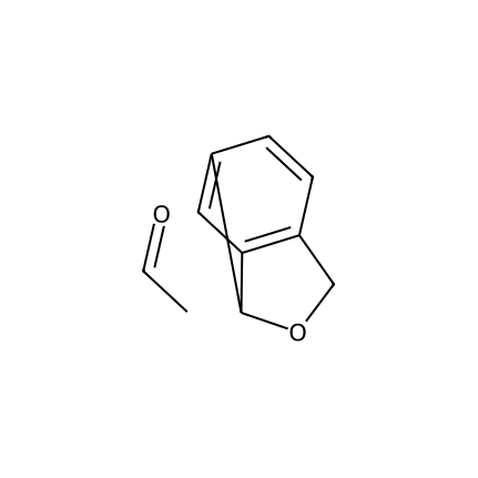 CC=O.c1cc2c3cc1C3OC2